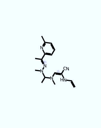 C=CN/C(C#N)=C\N(C)C(C)N(C)/N=C(\C)c1cccc(C)n1